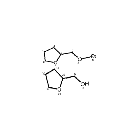 CCOCC1CCCO1.OCC1CCCO1